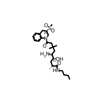 CCCCNC(=O)[C@H](C)C[C@H](O)[C@@H](N)CC(C)(C)CC(=O)N1C[C@H](S(C)(=O)=O)Cc2ccccc21